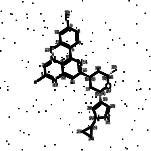 Cc1cnc2c(-c3ccc(F)cc3F)nc([C@@H]3C[C@@H](c4cnn(C5CC5)c4)O[C@@H](C)C3)cc2n1